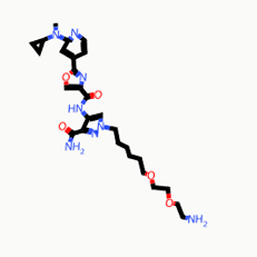 CN(c1cc(-c2nc(C(=O)Nc3cn(CCCCCCOCCOCCN)nc3C(N)=O)co2)ccn1)C1CC1